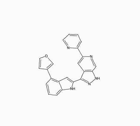 c1ccc(-c2cc3c(-c4cc5c(-c6ccoc6)cccc5[nH]4)n[nH]c3cn2)nc1